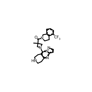 CC1(C(=O)N2CCc3c(cccc3C(F)(F)F)C2)CN(c2c3c(nc4ccnn24)CCNCC3)C1